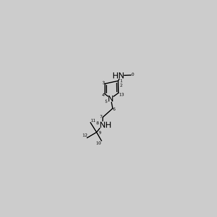 CNc1ccn(CCNC(C)(C)C)c1